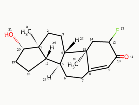 C[C@]12CC[C@H]3[C@@H](CCC4=CC(=O)C(F)C[C@@]43C)[C@@H]1CC[C@@H]2O